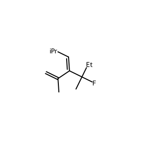 C=C(C)/C(=C\C(C)C)C(C)(F)CC